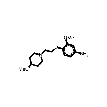 COc1cc(N)ccc1OCCN1CCC(OC)CC1